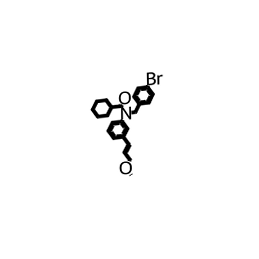 COC/C=C/c1cccc(N(Cc2ccc(Br)cc2)C(=O)C2CCCCC2)c1